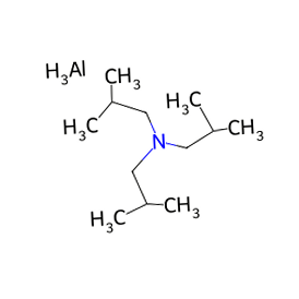 CC(C)CN(CC(C)C)CC(C)C.[AlH3]